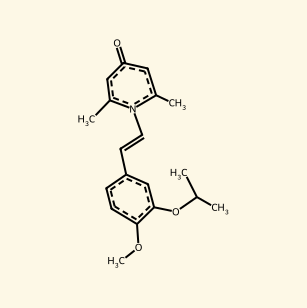 COc1ccc(/C=C/n2c(C)cc(=O)cc2C)cc1OC(C)C